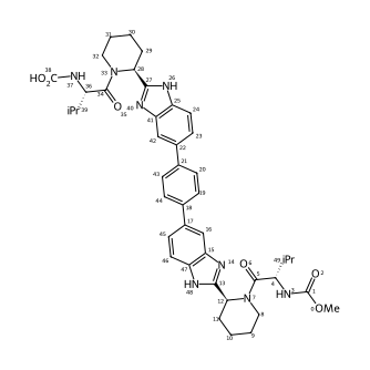 COC(=O)N[C@H](C(=O)N1CCCC[C@H]1c1nc2cc(-c3ccc(-c4ccc5[nH]c([C@@H]6CCCCN6C(=O)[C@@H](NC(=O)O)C(C)C)nc5c4)cc3)ccc2[nH]1)C(C)C